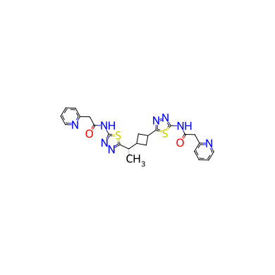 C[C@H](c1nnc(NC(=O)Cc2ccccn2)s1)C1CC(c2nnc(NC(=O)Cc3ccccn3)s2)C1